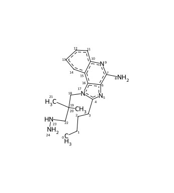 CCCCc1nc2c(N)nc3ccccc3c2n1CC(C)(C)CNN